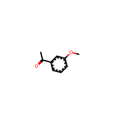 COc1[c]ccc(C(C)=O)c1